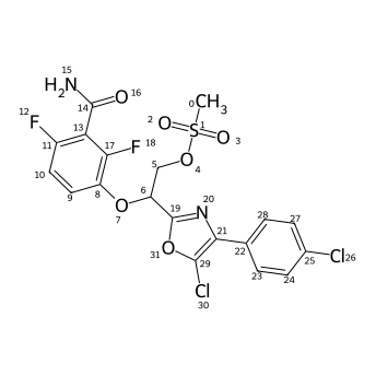 CS(=O)(=O)OCC(Oc1ccc(F)c(C(N)=O)c1F)c1nc(-c2ccc(Cl)cc2)c(Cl)o1